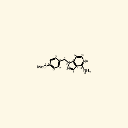 COc1ccc(Cn2ncc3c(N)nccc32)cc1